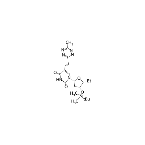 CC[C@H]1O[C@@H](n2cc(/C=C/c3nnc(C)nn3)c(=O)[nH]c2=O)C[C@H]1O[Si](C)(C)C(C)(C)C